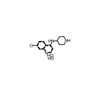 Cl.Cl.Clc1ccc2c(NC3CCNCC3)ccnc2c1